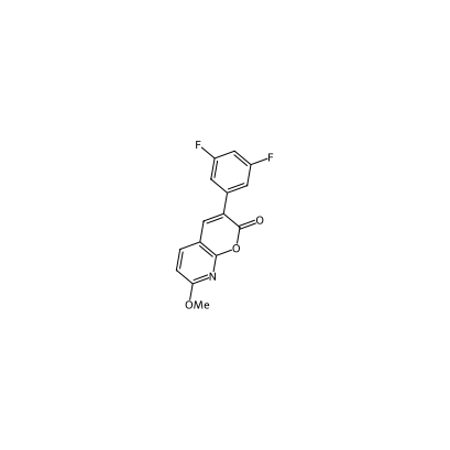 COc1ccc2cc(-c3cc(F)cc(F)c3)c(=O)oc2n1